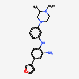 CCOC(=O)N1CCN(c2cccc(Nc3ccc(-c4ccoc4)cc3N)c2)CC1C